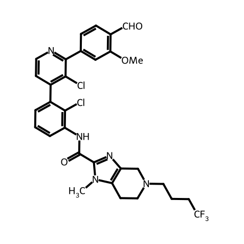 COc1cc(-c2nccc(-c3cccc(NC(=O)c4nc5c(n4C)CCN(CCCC(F)(F)F)C5)c3Cl)c2Cl)ccc1C=O